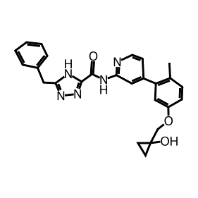 Cc1ccc(OCC2(O)CC2)cc1-c1ccnc(NC(=O)c2nnc(Cc3ccccc3)[nH]2)c1